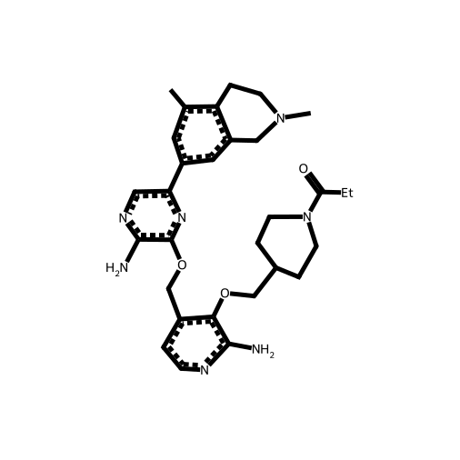 CCC(=O)N1CCC(COc2c(COc3nc(-c4cc(C)c5c(c4)CN(C)CC5)cnc3N)ccnc2N)CC1